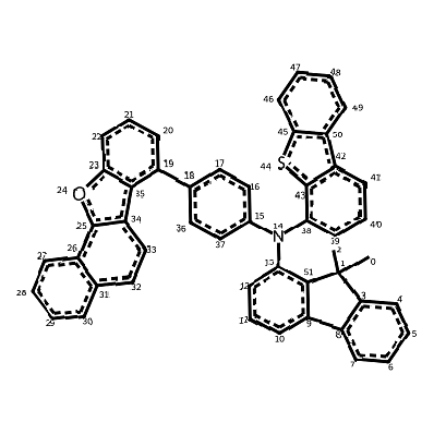 CC1(C)c2ccccc2-c2cccc(N(c3ccc(-c4cccc5oc6c7ccccc7ccc6c45)cc3)c3cccc4c3sc3ccccc34)c21